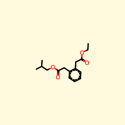 CCOC(=O)Cc1ccccc1CC(=O)OCC(C)C